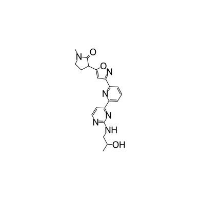 CC(O)CNc1nccc(-c2cccc(-c3cc(C4CCN(C)C4=O)on3)n2)n1